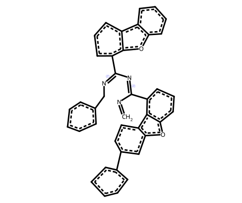 C=N/C(=N\C(=N/Cc1ccccc1)c1cccc2c1oc1ccccc12)c1cccc2oc3cc(-c4ccccc4)ccc3c12